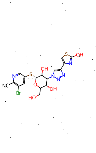 N#Cc1ncc(S[C@H]2OC(CO)[C@H](O)C(n3cc(-c4csc(O)n4)nn3)C2O)cc1Br